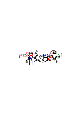 CCc1cc(-c2cccc(NS(=O)(=O)c3cc(C)c(Cl)cc3C)c2)ccc1C(=O)N[C@@H](C)C(=O)O